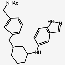 CC(=O)NCc1cccc(CN2CCCC(Nc3ccc4[nH]ncc4c3)C2)c1